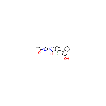 C=CC(=O)N1CC(N2Cc3ccc(-c4cc(O)cc5ccccc45)c(F)c3C2=O)C1